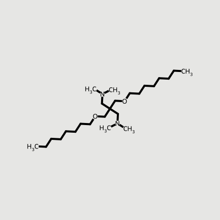 CCCCCCCCOCC(COCCCCCCCC)(CN(C)C)CN(C)C